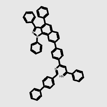 N=C(/C=C(\N=C\c1ccc(-c2ccccc2)cc1)c1ccc(-c2ccc3cc(-c4ccccc4)c4c(-c5ccccc5)nn(-c5ccccc5)c4c3c2)cc1)c1ccccc1